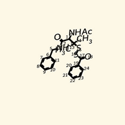 CC(=O)NC(C(=O)NCc1ccccc1)C(C)(C)SSC(=O)c1ccccc1